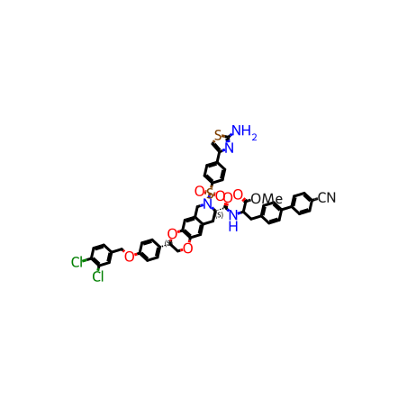 COC(=O)C(Cc1ccc(-c2ccc(C#N)cc2)cc1)NC(=O)[C@@H]1Cc2cc3c(cc2CN1S(=O)(=O)c1ccc(-c2csc(N)n2)cc1)O[C@@H](c1ccc(OCc2ccc(Cl)c(Cl)c2)cc1)CO3